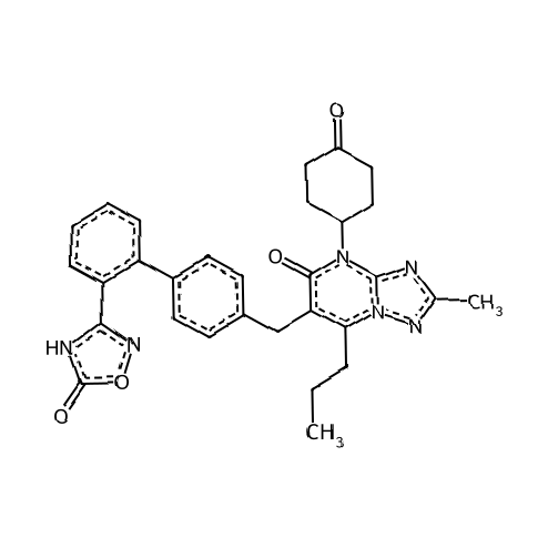 CCCc1c(Cc2ccc(-c3ccccc3-c3noc(=O)[nH]3)cc2)c(=O)n(C2CCC(=O)CC2)c2nc(C)nn12